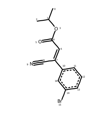 CC(C)OC(=O)C=C(C#N)c1cccc(Br)c1